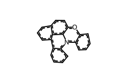 c1ccc2c(c1)oc1ccc3cccc4c5ccccc5n2-c1c34